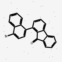 O=C1c2ccccc2-c2cccc(-c3ccc(Br)c4ccccc34)c21